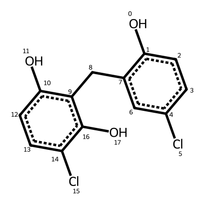 Oc1ccc(Cl)cc1Cc1c(O)ccc(Cl)c1O